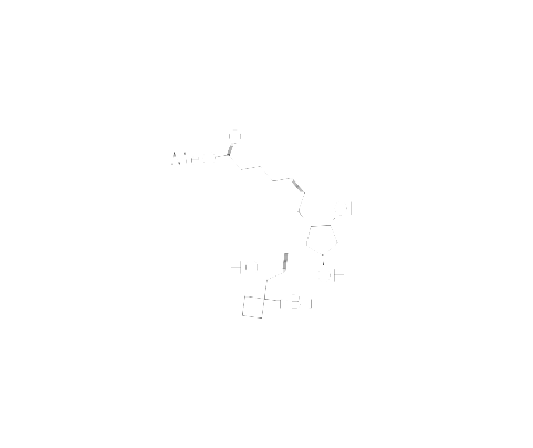 CCCCC1([C@H](O)/C=C/[C@@H]2[C@@H](C/C=C\CCCC(=O)OC)[C@@H](O)C[C@H]2O)CCC1